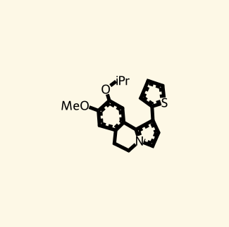 COc1cc2c(cc1OC(C)C)-c1c(-c3cccs3)ccn1CC2